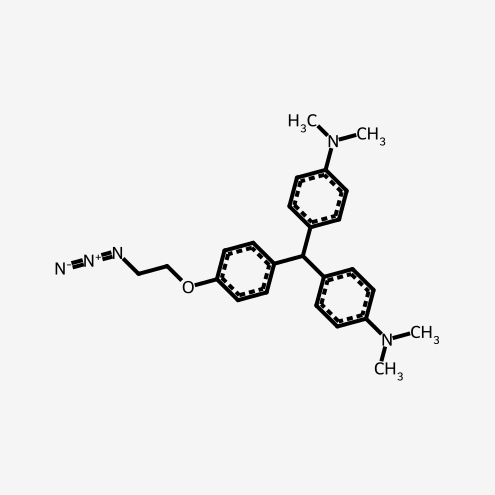 CN(C)c1ccc(C(c2ccc(OCCN=[N+]=[N-])cc2)c2ccc(N(C)C)cc2)cc1